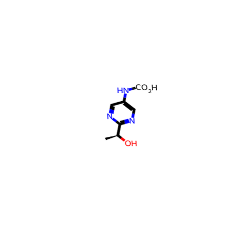 C[C@H](O)c1ncc(NC(=O)O)cn1